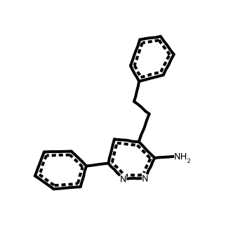 Nc1nnc(-c2ccccc2)cc1CCc1ccccc1